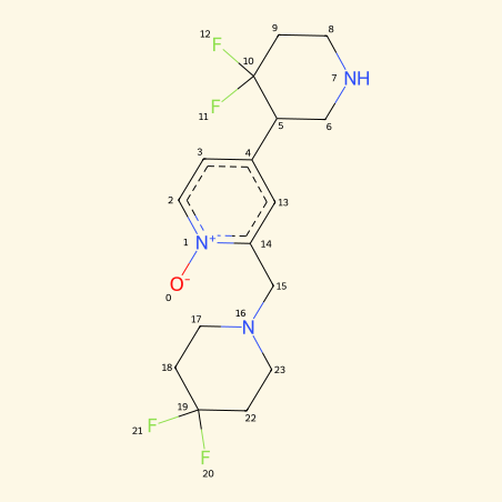 [O-][n+]1ccc(C2CNCCC2(F)F)cc1CN1CCC(F)(F)CC1